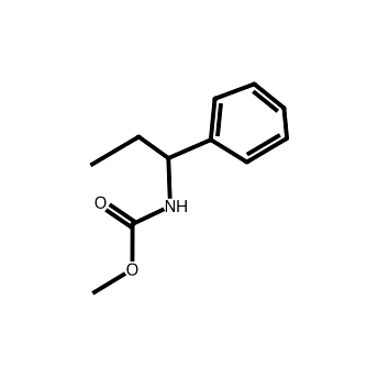 CCC(NC(=O)OC)c1ccccc1